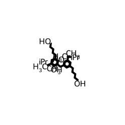 CC(C)C(C)(C)c1cc(CCCCCO)cc(Cc2cc(CCCCCO)cc(C(C)(C)C(C)C)c2O)c1O